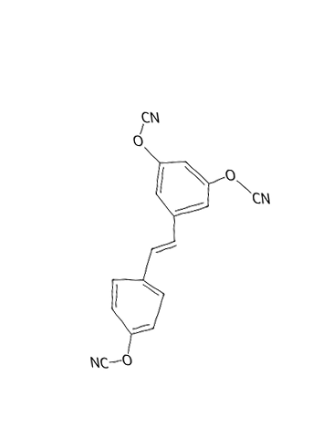 N#COc1ccc(/C=C/c2cc(OC#N)cc(OC#N)c2)cc1